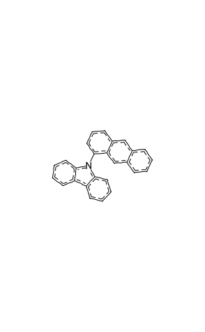 c1ccc2cc3c(-n4c5ccccc5c5ccccc54)cccc3cc2c1